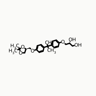 CC1(C)OC[C@H](COc2ccc(C(C)(C)c3ccc(OC[C@H](O)CO)cc3)cc2)O1